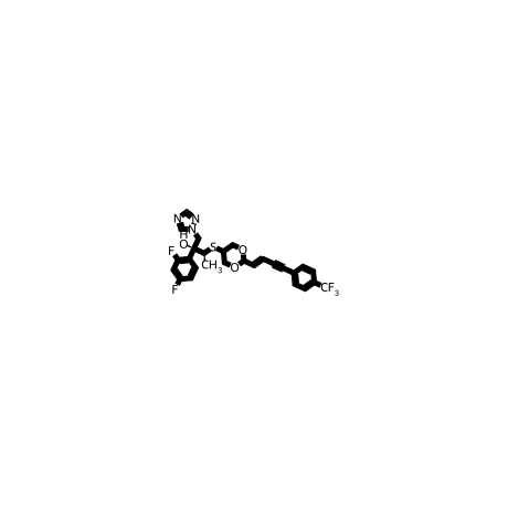 C[C@@H](SC1COC(/C=C/C#Cc2ccc(C(F)(F)F)cc2)OC1)[C@](O)(Cn1cncn1)c1ccc(F)cc1F